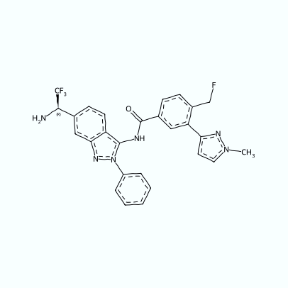 Cn1ccc(-c2cc(C(=O)Nc3c4ccc([C@@H](N)C(F)(F)F)cc4nn3-c3ccccc3)ccc2CF)n1